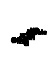 COc1ccc2c(Nc3ccc(Sc4nc(-c5ccccc5)cs4)c(Cl)c3)c(C#N)cnc2c1[N+](=O)[O-]